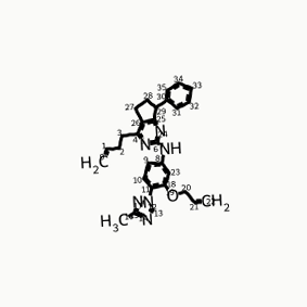 C=CCCc1nc(Nc2ccc(-n3cnc(C)n3)c(OCC=C)c2)nc2c1CCC2c1ccccc1